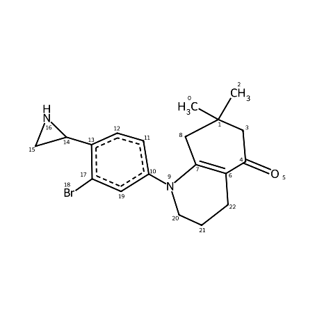 CC1(C)CC(=O)C2=C(C1)N(c1ccc(C3CN3)c(Br)c1)CCC2